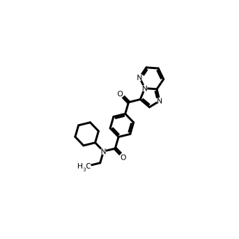 CCN(C(=O)c1ccc(C(=O)c2cnc3cccnn23)cc1)C1CCCCC1